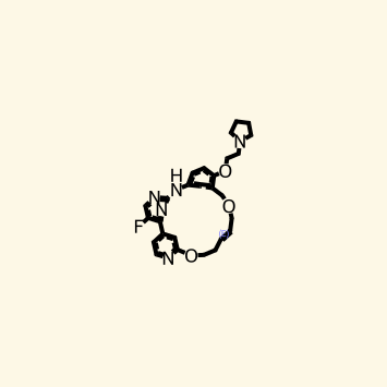 Fc1cnc2nc1-c1ccnc(c1)OCC/C=C/COCc1cc(ccc1OCCN1CCCC1)N2